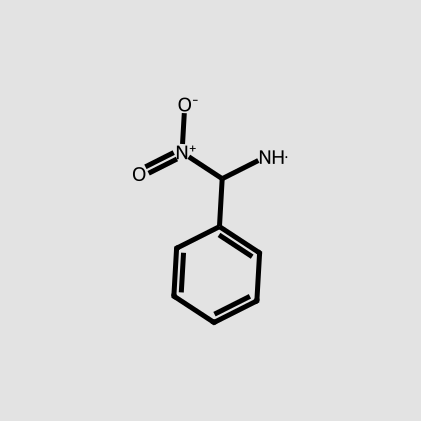 [NH]C(c1ccccc1)[N+](=O)[O-]